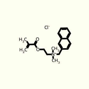 C=C(C)C(=O)OCC[N+](C)(C)Cc1ccc2ccccc2c1.[Cl-]